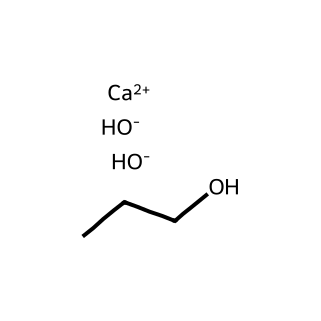 CCCO.[Ca+2].[OH-].[OH-]